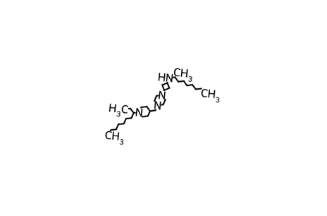 CCCCCCCC(C)N[C@H]1C[C@H](N2CCN(CC3CCN(C(CC)CCCCCCC)CC3)CC2)C1